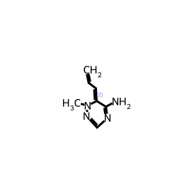 C=C/C=C1/C(N)=NC=NN1C